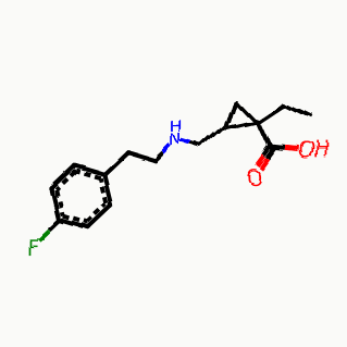 CCC1(C(=O)O)CC1CNCCc1ccc(F)cc1